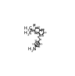 CN(C)c1nc2c(CCC34CCC(N)(CC3)CO4)ccnc2cc1F